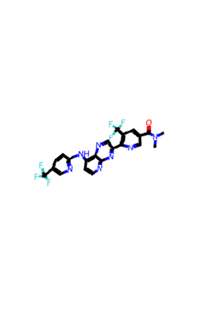 CN(C)C(=O)c1cnc(-c2cnc3c(Nc4ccc(C(F)(F)F)cn4)ccnc3n2)c(C(F)(F)F)c1